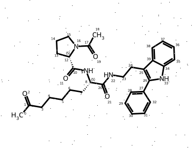 CC(=O)CCCCC[C@H](NC(=O)[C@@H]1CCCN1C(C)=O)C(=O)NCCc1c(-c2ccccc2)[nH]c2ccccc12